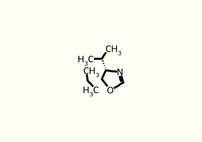 CC(C)[C@H]1COC=N1.CCC